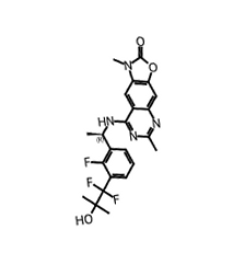 Cc1nc(N[C@H](C)c2cccc(C(F)(F)C(C)(C)O)c2F)c2cc3c(cc2n1)oc(=O)n3C